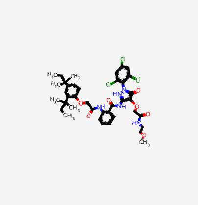 CCC(C)(C)c1ccc(OCC(=O)Nc2ccccc2C(=O)Nc2[nH]n(-c3c(Cl)cc(Cl)cc3Cl)c(=O)c2OCC(=O)NCCOC)c(C(C)(C)CC)c1